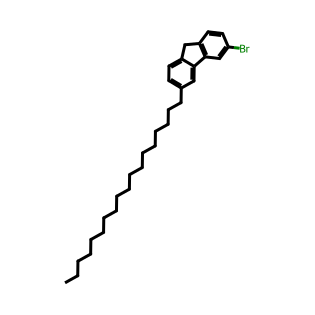 CCCCCCCCCCCCCCCCCCc1ccc2c(c1)-c1cc(Br)ccc1C2